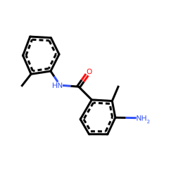 Cc1ccccc1NC(=O)c1cccc(N)c1C